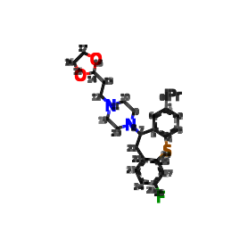 CC(C)c1ccc2c(c1)C(N1CCN(CCC3OCCO3)CC1)Cc1ccc(F)cc1S2